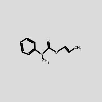 C/C=C/OC(=O)N(C)c1ccccc1